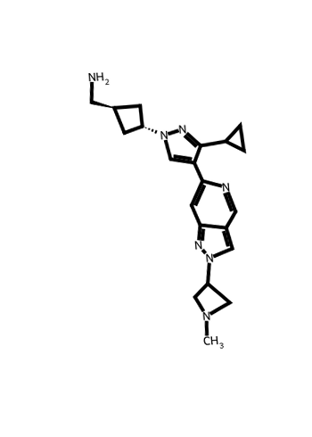 CN1CC(n2cc3cnc(-c4cn([C@H]5C[C@H](CN)C5)nc4C4CC4)cc3n2)C1